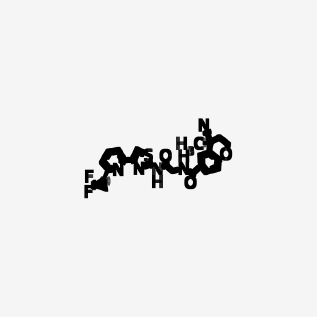 C[C@@]1(C#N)CCOc2ccc(C(=O)NCC(=O)Nc3nc(-c4cccc([C@H]5CC5(F)F)n4)cs3)cc21